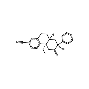 CC[C@@]12CC(=O)[C@@](O)(c3ccccc3)C[C@H]1CCc1cc(C#N)ccc12